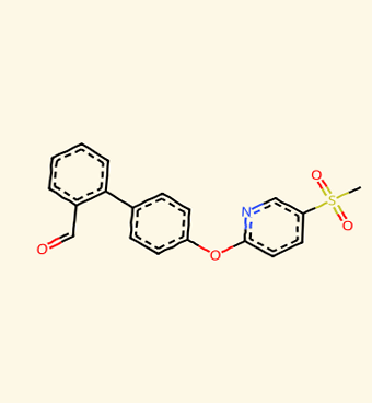 CS(=O)(=O)c1ccc(Oc2ccc(-c3ccccc3C=O)cc2)nc1